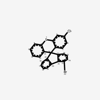 Clc1ccc2c(c1)Sc1ccccc1C21c2ccccc2-c2c(Br)cccc21